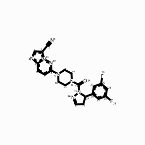 N#Cc1cnc2ccc(N3CCN(C(=O)N4N=CCC4c4cc(F)cc(F)c4)CC3)nn12